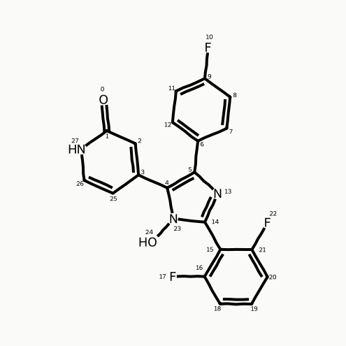 O=c1cc(-c2c(-c3ccc(F)cc3)nc(-c3c(F)cccc3F)n2O)cc[nH]1